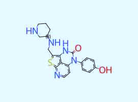 O=C1Nc2c(CN[C@@H]3CCCNC3)sc3nccc(c23)N1c1ccc(O)cc1